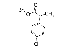 CC(C(=O)OBr)c1ccc(Cl)cc1